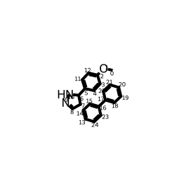 COc1ccc(C2CC=NN2)cc1.c1ccc(-c2ccccc2)cc1